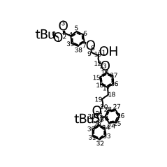 CC(C)(C)OC(=O)c1ccc(OCC(O)COc2ccc(CCCO[Si](c3ccccc3)(c3ccccc3)C(C)(C)C)cc2)cc1